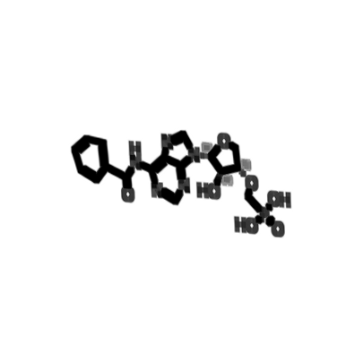 O=C(Nc1ncnc2c1ncn2[C@@H]1OC[C@H](OCP(=O)(O)O)[C@H]1O)c1ccccc1